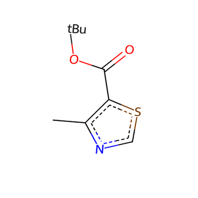 Cc1ncsc1C(=O)OC(C)(C)C